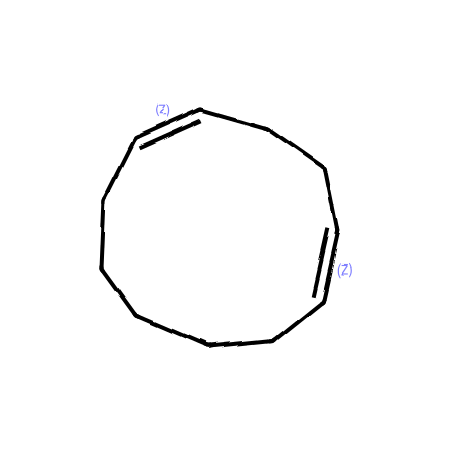 C1=C\CCCCC/C=C\CC/1